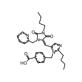 CCCCc1ncc(C=C2C(=O)N(CCCC)C(=O)N2Cc2ccccn2)n1Cc1ccc(C(=O)O)cc1